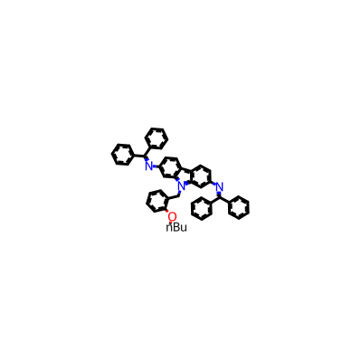 CCCCOc1ccccc1Cn1c2cc(N=C(c3ccccc3)c3ccccc3)ccc2c2ccc(N=C(c3ccccc3)c3ccccc3)cc21